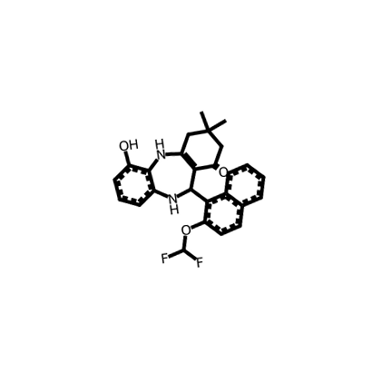 CC1(C)CC(=O)C2=C(C1)Nc1c(O)cccc1NC2c1c(OC(F)F)ccc2ccccc12